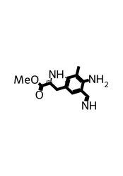 COC(=O)[C@H](N)Cc1cc(C)c(N)c(C=N)c1